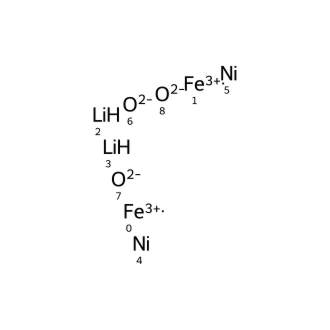 [Fe+3].[Fe+3].[LiH].[LiH].[Ni].[Ni].[O-2].[O-2].[O-2]